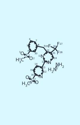 CS(=O)(=O)c1cccc(Cc2nc(-c3ccc(S(C)(=O)=O)nc3)ncc2C(F)(F)F)c1.NN